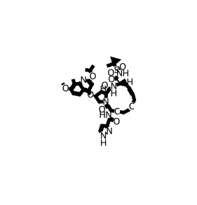 COc1ccc2c(O[C@@H]3C[C@H]4C(=O)N[C@]5(C(=O)NS(=O)(=O)C6(C)CC6)C[C@H]5/C=C\CCCCC[C@H](NC(=O)c5cc[nH]n5)C(=O)N4C3)cc(OC(C)C)nc2c1C